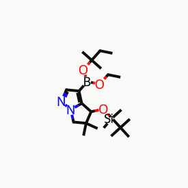 CCOB(OC(C)(C)CC)c1cnn2c1C(O[Si](C)(C)C(C)(C)C)C(C)(C)C2